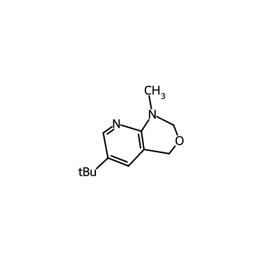 CN1COCc2cc(C(C)(C)C)cnc21